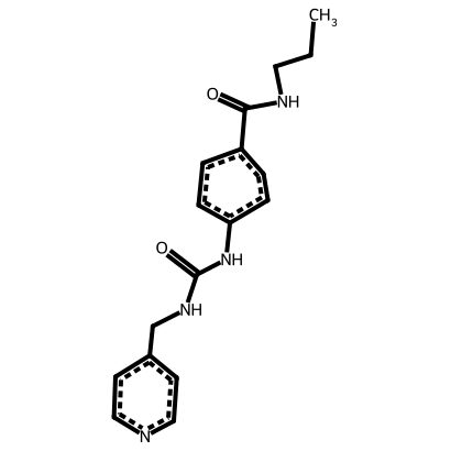 CCCNC(=O)c1ccc(NC(=O)NCc2ccncc2)cc1